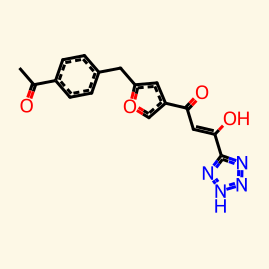 CC(=O)c1ccc(Cc2cc(C(=O)C=C(O)c3nn[nH]n3)co2)cc1